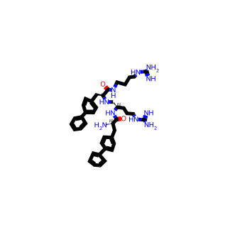 N=C(N)NCCCCNC(=O)[C@H](Cc1ccc(-c2ccccc2)cc1)NC[C@H](CCCNC(=N)N)NC(=O)[C@@H](N)Cc1ccc(-c2ccccc2)cc1